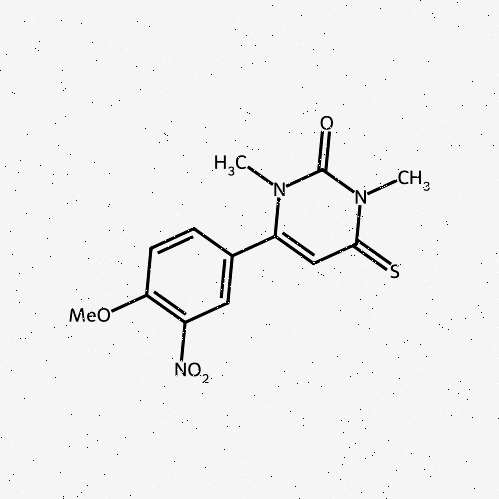 COc1ccc(-c2cc(=S)n(C)c(=O)n2C)cc1[N+](=O)[O-]